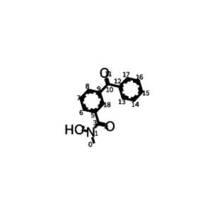 CN(O)C(=O)c1cccc(C(=O)c2ccccc2)c1